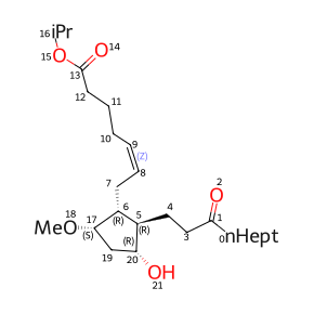 CCCCCCCC(=O)CC[C@@H]1[C@@H](C/C=C\CCCC(=O)OC(C)C)[C@@H](OC)C[C@H]1O